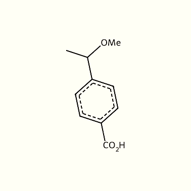 COC(C)c1ccc(C(=O)O)cc1